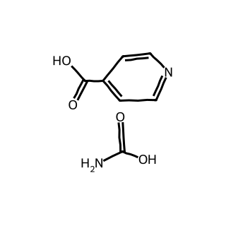 NC(=O)O.O=C(O)c1ccncc1